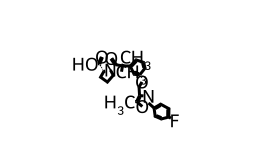 Cc1oc(-c2ccc(F)cc2)nc1COc1cccc(C(C)(C)C(=O)N2CCC[C@@H]2C(=O)O)c1